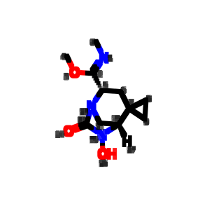 C/N=C(\OC)[C@@H]1CC2(CC2)[C@H]2CN1C(=O)N2O